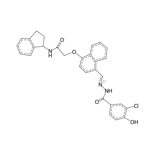 O=C(COc1ccc(/C=N/NC(=O)c2ccc(O)c(Cl)c2)c2ccccc12)NC1CCc2ccccc21